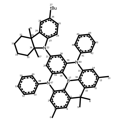 Cc1cc2c3c(c1)C(C)(C)c1cc(C)cc4c1B3c1c(cc(N3c5ccc(C(C)(C)C)cc5C5(C)CCCCC35C)cc1N4c1ccccc1)N2c1ccccc1